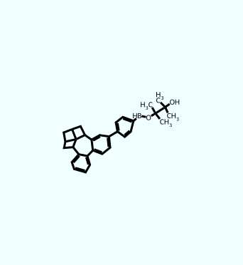 CC(C)(O)C(C)(C)OBc1ccc(-c2ccc3c(c2)C2CC4CC5CC(c6ccccc6-3)C542)cc1